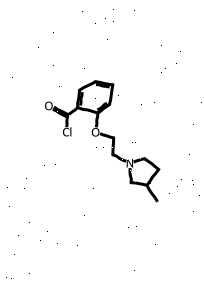 CC1CCN(CCOc2ccccc2C(=O)Cl)C1